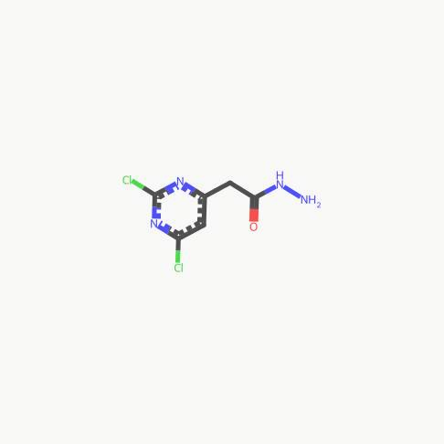 NNC(=O)Cc1cc(Cl)nc(Cl)n1